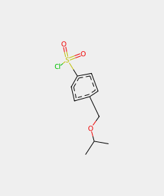 CC(C)OCc1ccc(S(=O)(=O)Cl)cc1